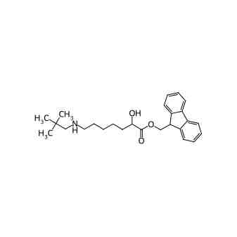 CC(C)(C)CNCCCCCC(O)C(=O)OCC1c2ccccc2-c2ccccc21